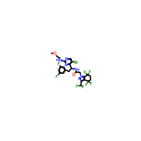 COCCNc1ncc(Br)c(C(Cc2cc(F)cc(F)c2)NC(=O)Cn2nc(C(F)F)c3c2C(F)(F)CCC3(F)F)n1